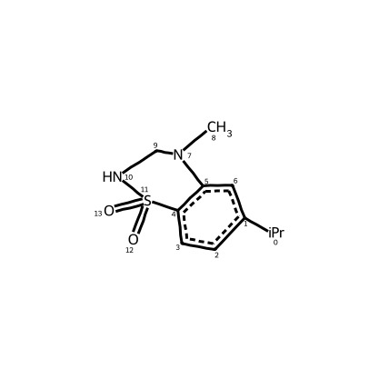 CC(C)c1ccc2c(c1)N(C)CNS2(=O)=O